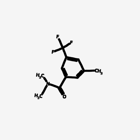 Cc1cc(C(=O)N(C)C)cc(C(F)(F)F)c1